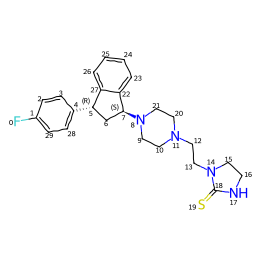 Fc1ccc([C@H]2C[C@H](N3CCN(CCN4CCNC4=S)CC3)c3ccccc32)cc1